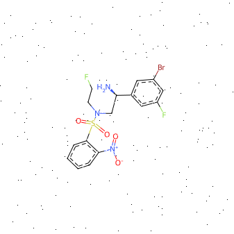 N[C@H](CN(CCF)S(=O)(=O)c1ccccc1[N+](=O)[O-])c1cc(F)cc(Br)c1